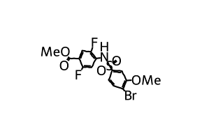 COC(=O)c1cc(F)c(NS(=O)(=O)c2ccc(Br)c(OC)c2)cc1F